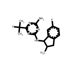 CC1Cc2ccc(F)cc2C1Nc1nc(N)nc(C(C)(C)F)n1